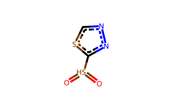 O=[SH](=O)c1nncs1